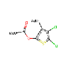 COC(=O)Oc1sc(Cl)c(Cl)c1NC(C)=O